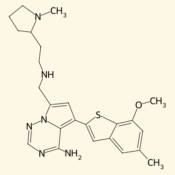 COc1cc(C)cc2cc(-c3cc(CNCCC4CCCN4C)n4ncnc(N)c34)sc12